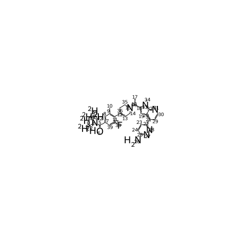 [2H]C([2H])([2H])N(C(=O)c1cc(C)c(C2=CCN([C@@H](C)c3cc4c(-c5ccc(N)nn5)ccnc4n3C)CC2)c(F)c1)C([2H])([2H])[2H]